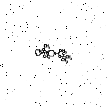 COC1CC2CN(C(=O)OC(C)(C)C)CC1N2C(C)(C)c1ccccc1